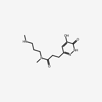 CNCCCN(C)C(=O)CCc1cc(O)c(=O)[nH]n1